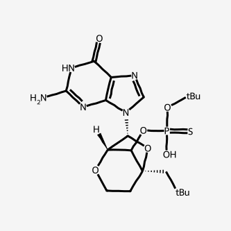 CC(C)(C)C[C@]12CCO[C@@H](C1OP(O)(=S)OC(C)(C)C)[C@H](n1cnc3c(=O)[nH]c(N)nc31)O2